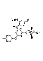 CNc1cc(F)cc2c1[nH]c1nc(Oc3cnc(C)nc3)nc(N3C[C@@H]4[C@@H](O)[C@@H]4C3)c12